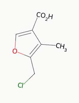 Cc1c(C(=O)O)coc1CCl